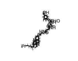 CC(C)CCC[C@@H](C)[C@H]1CC[C@H]2[C@@H]3CC=C4C[C@@H](OCCCNC(=O)CCC(=O)N[C@@H](C)C(=O)NC(C)(C=O)CNc5ccc(CO)cc5)CC[C@]4(C)[C@H]3CC[C@]12C